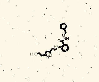 CCCC1=NOC(CCNc2ccccc2C(=O)NOCC2CCCC2)C1